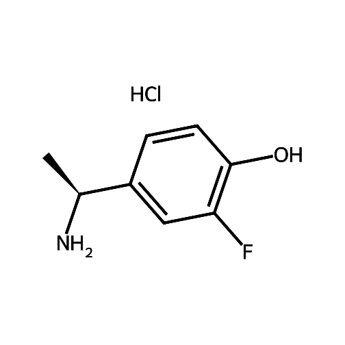 C[C@H](N)c1ccc(O)c(F)c1.Cl